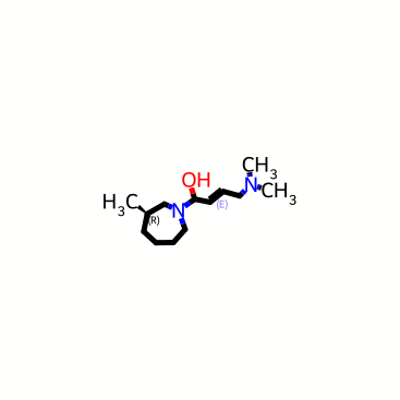 C[C@@H]1CCCCN(C(O)/C=C/CN(C)C)C1